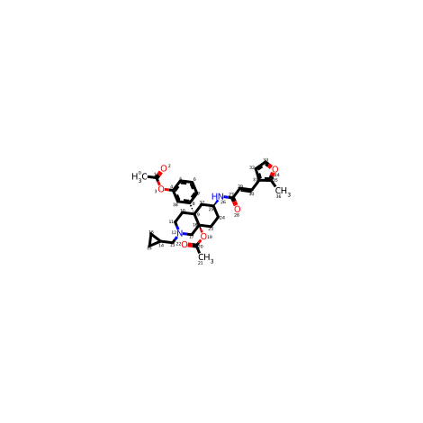 CC(=O)Oc1cccc([C@@]23CCN(CC4CC4)C[C@@]2(OC(C)=O)CC[C@H](NC(=O)/C=C/c2ccoc2C)C3)c1